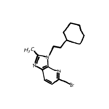 Cc1nc2ccc(Br)nc2n1CCC1CCCCC1